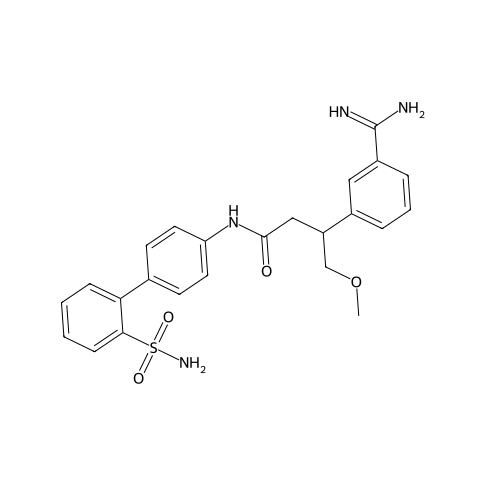 COCC(CC(=O)Nc1ccc(-c2ccccc2S(N)(=O)=O)cc1)c1cccc(C(=N)N)c1